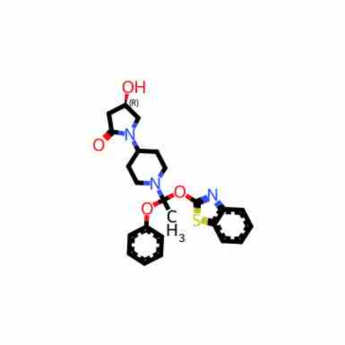 CC(Oc1ccccc1)(Oc1nc2ccccc2s1)N1CCC(N2C[C@H](O)CC2=O)CC1